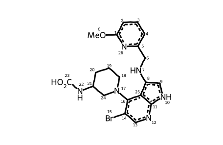 COc1cccc(CNc2c[nH]c3ncc(Br)c(N4CCCC(NC(=O)O)C4)c23)n1